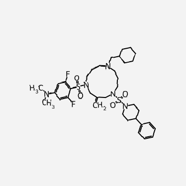 C=C1CN(S(=O)(=O)c2c(F)cc(N(C)C)cc2F)CCCN(CC2CCCCC2)CCCN(S(=O)(=O)N2CCC(c3ccccc3)CC2)C1